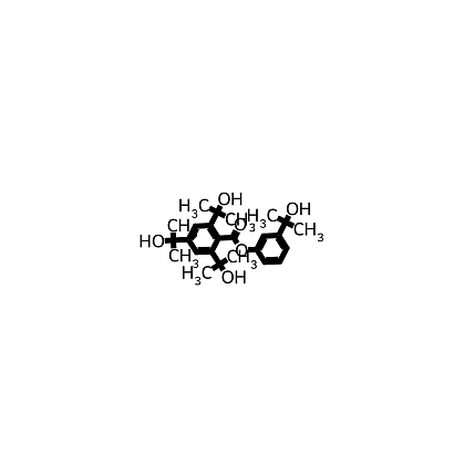 CC(C)(O)c1cccc(OC(=O)c2c(C(C)(C)O)cc(C(C)(C)O)cc2C(C)(C)O)c1